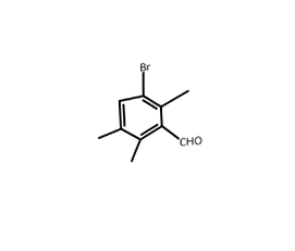 Cc1cc(Br)c(C)c(C=O)c1C